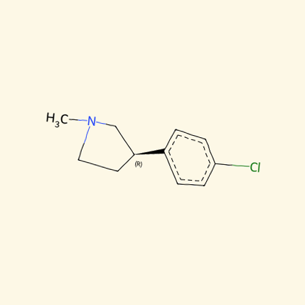 CN1CC[C@H](c2ccc(Cl)cc2)C1